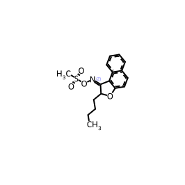 CCCCC1Oc2ccc3ccccc3c2/C1=N/OS(C)(=O)=O